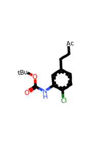 CC(=O)CCc1ccc(Cl)c(NC(=O)OC(C)(C)C)c1